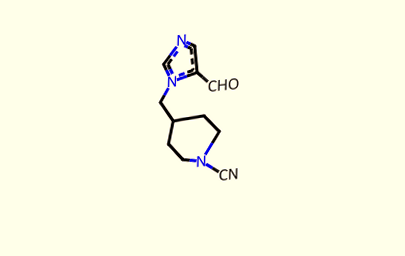 N#CN1CCC(Cn2cncc2C=O)CC1